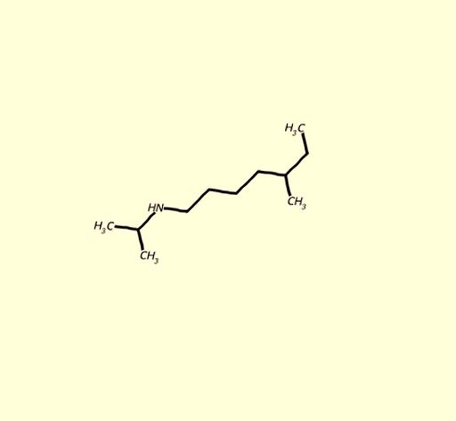 CCC(C)CCCCNC(C)C